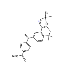 C=C(c1ccc(C(=O)OC)cc1)c1ccc2c(c1)C(/C=C\C(C)(CC)CC)=CCC2(C)C